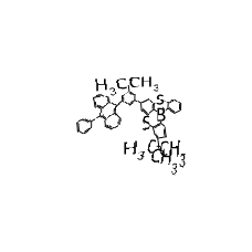 CC(C)c1cc(-c2cc3c4c(c2)Sc2cc(C(C)(C)C)ccc2B4c2ccccc2S3)cc(-c2c3ccccc3c(-c3ccccc3)c3ccccc23)c1